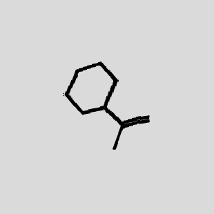 C=C(C)C1C[C]CCC1